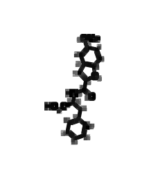 COc1ccc2oc(C(=O)N[C@@H](Cc3ccccn3)C(=O)O)cc2c1